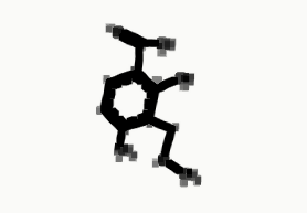 COCc1c(N)ccc(C(=O)O)c1O